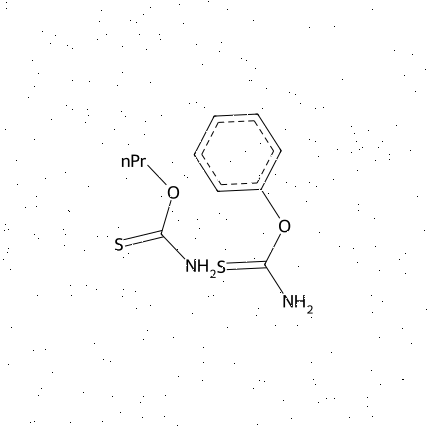 CCCOC(N)=S.NC(=S)Oc1ccccc1